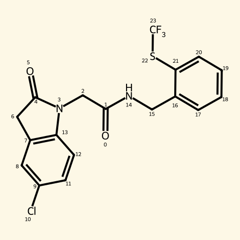 O=C(CN1C(=O)Cc2cc(Cl)ccc21)NCc1ccccc1SC(F)(F)F